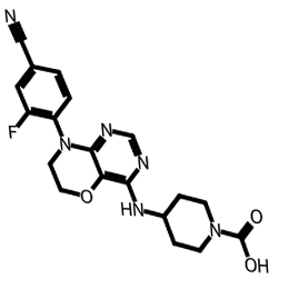 N#Cc1ccc(N2CCOc3c(NC4CCN(C(=O)O)CC4)ncnc32)c(F)c1